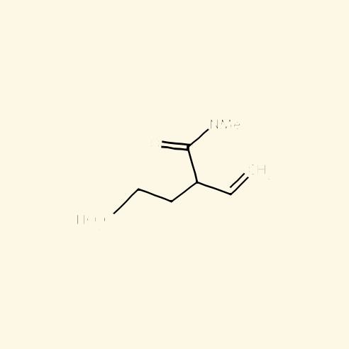 C=CC(CCC(=O)O)C(=O)NC